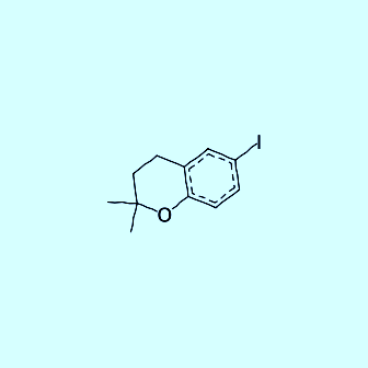 CC1(C)CCc2cc(I)ccc2O1